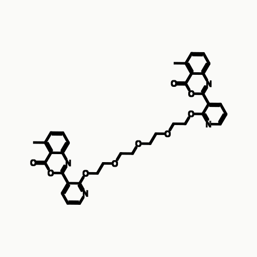 Cc1cccc2nc(-c3cccnc3OCCOCCOCCOCCOc3ncccc3-c3nc4cccc(C)c4c(=O)o3)oc(=O)c12